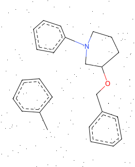 Cc1ccccc1.c1ccc(COC2CCCN(c3ccccc3)C2)cc1